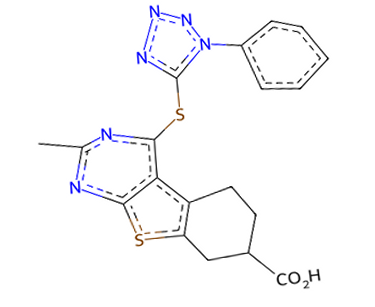 Cc1nc(Sc2nnnn2-c2ccccc2)c2c3c(sc2n1)CC(C(=O)O)CC3